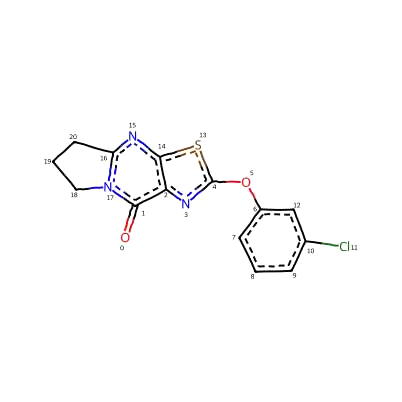 O=c1c2nc(Oc3cccc(Cl)c3)sc2nc2n1CCC2